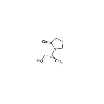 C[C@@H](CO)N1CCCC1=O